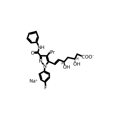 CC(C)c1c(C(=O)Nc2ccccc2)nn(-c2ccc(F)cc2)c1C=C[C@H](O)C[C@@H](O)CC(=O)[O-].[Na+]